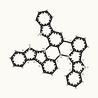 c1ccc2c(c1)oc1c3c4c(cc12)-c1cccc2c5sc6ccccc6c5n(c12)B4c1cccc2c4c5ccccc5sc4n-3c12